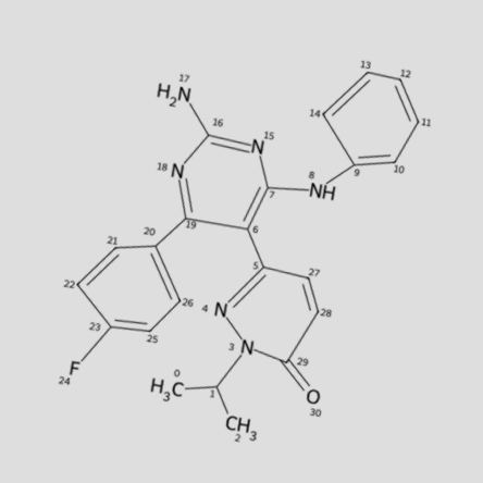 CC(C)n1nc(-c2c(Nc3ccccc3)nc(N)nc2-c2ccc(F)cc2)ccc1=O